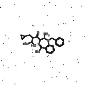 CCCCC(O)C(CC1CC1)C(=O)C1N=C(C(C)(C)C)c2ccccc2N(Cc2ccccc2)C1N